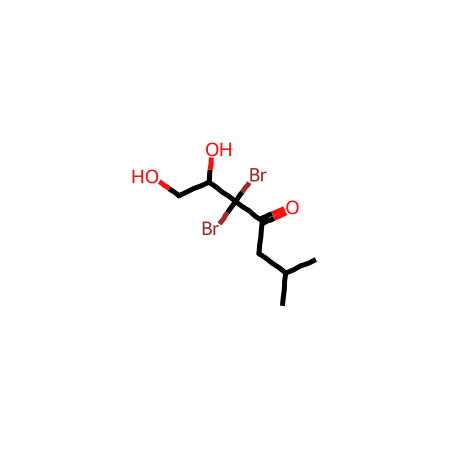 CC(C)CC(=O)C(Br)(Br)C(O)CO